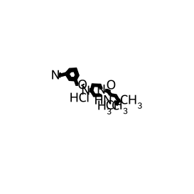 CNC(CC(C)C)C(=O)N1CCC(=NOCc2cccc(C#N)c2)CC1.Cl